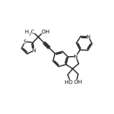 CC(O)(C#Cc1ccc2c(c1)N(c1ccncc1)CC2(CO)CO)c1nccs1